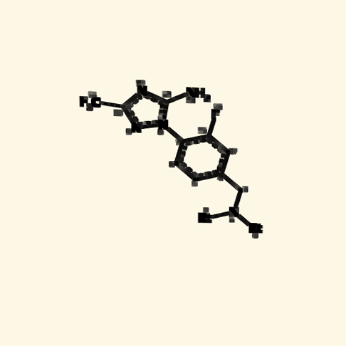 CCN(CC)Cc1ccc(-n2nc(C(F)(F)F)nc2N)c(F)c1